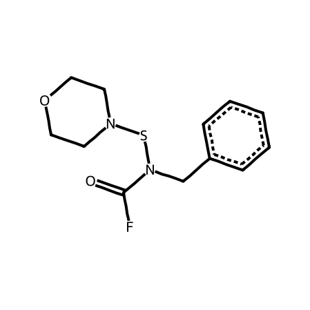 O=C(F)N(Cc1ccccc1)SN1CCOCC1